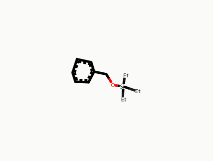 CC[Si](CC)(CC)OCc1ccccc1